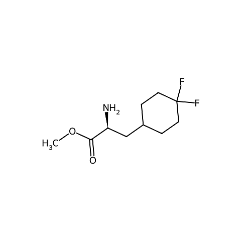 COC(=O)[C@@H](N)CC1CCC(F)(F)CC1